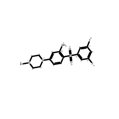 CCN1CCN(c2ccc(S(=O)(=O)c3cc(F)cc(F)c3)c(N)c2)CC1